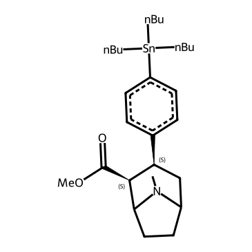 CCC[CH2][Sn]([CH2]CCC)([CH2]CCC)[c]1ccc([C@H]2CC3CCC([C@H]2C(=O)OC)N3C)cc1